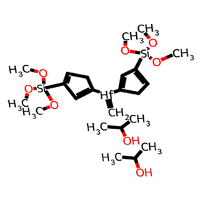 CC(C)O.CC(C)O.[CH2]=[Hf]([C]1=CC([Si](OC)(OC)OC)=CC1)[C]1=CC([Si](OC)(OC)OC)=CC1